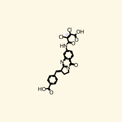 O=C(O)/C(Cl)=C(/Cl)C(=O)Nc1ccc2c(=O)n3c(nc2c1)C(=Cc1ccc(C(=O)O)cc1)CC3